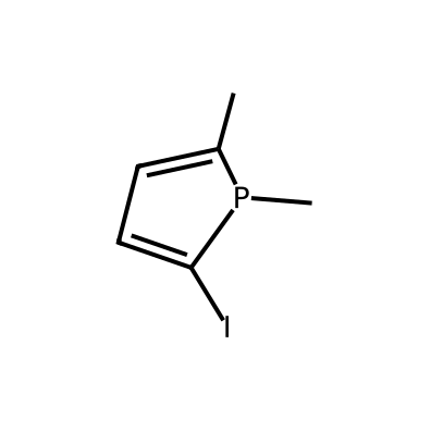 Cc1ccc(I)p1C